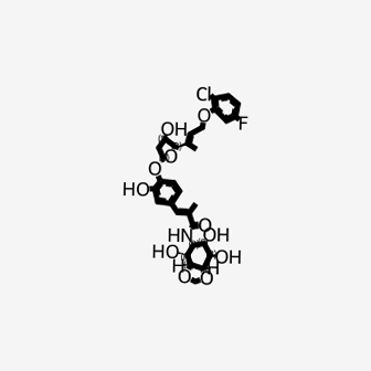 CC(=Cc1ccc(O[C@H]2C[C@H](O)[C@@H](C(C)=CCOc3cc(F)ccc3Cl)O2)c(O)c1)C(=O)N[C@@H]1[C@H](O)[C@@H](O)[C@H]2OCO[C@H]2[C@@H]1O